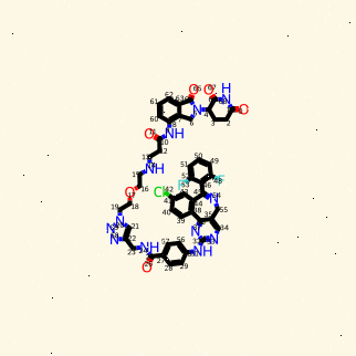 O=C1CCC(N2Cc3c(NC(=O)CCNCCOCCn4cc(CNC(=O)c5ccc(Nc6ncc7c(n6)-c6ccc(Cl)cc6C(c6c(F)cccc6F)=NC7)cc5)nn4)cccc3C2=O)C(=O)N1